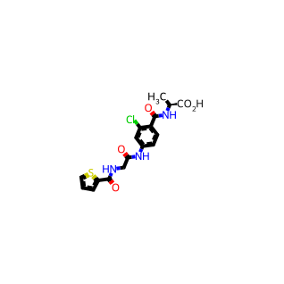 C[C@H](NC(=O)c1ccc(NC(=O)CNC(=O)c2cccs2)cc1Cl)C(=O)O